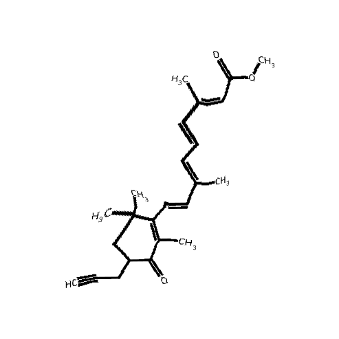 C#CCC1CC(C)(C)C(C=CC(C)=CC=CC(C)=CC(=O)OC)=C(C)C1=O